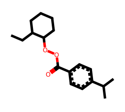 CCC1CCCC[C]1OOC(=O)c1ccc(C(C)C)cc1